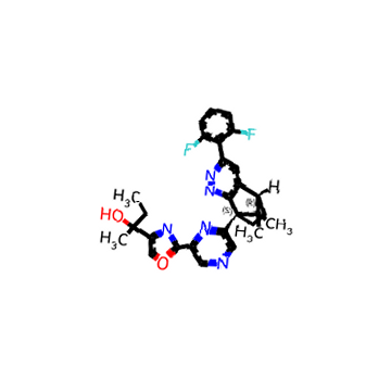 CCC(C)(O)c1coc(-c2cncc([C@@]34CC[C@@H](c5cc(-c6c(F)cccc6F)nnc53)C4(C)C)n2)n1